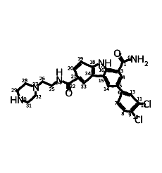 NC(=O)c1cc(-c2ccc(Cl)c(Cl)c2)cc2c1[nH]c1ccc(C(=O)NCCN3CCNCC3)cc12